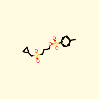 Cc1ccc(S(=O)(=O)OCCCS(=O)(=O)CC2CC2)cc1